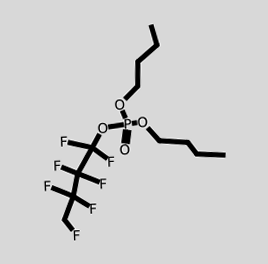 CCCCOP(=O)(OCCCC)OC(F)(F)C(F)(F)C(F)(F)CF